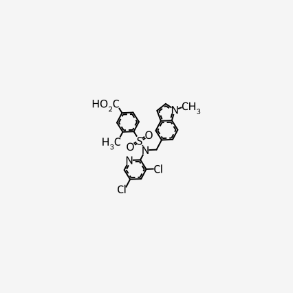 Cc1cc(C(=O)O)ccc1S(=O)(=O)N(Cc1ccc2c(ccn2C)c1)c1ncc(Cl)cc1Cl